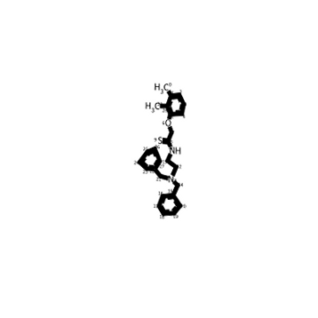 Cc1cccc(OCC(=S)NCCN(Cc2ccccc2)Cc2ccccc2)c1C